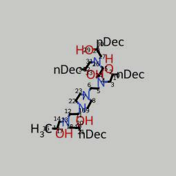 CCCCCCCCCCC(O)CN(CCN1CCN(CCN(CC(C)O)CC(O)CCCCCCCCCC)CC1)CCN(CC(O)CCCCCCCCCC)CC(O)CCCCCCCCCC